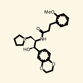 COc1ccccc1CCC(=O)N[C@H](CN1CCCC1)[C@H](O)c1ccc2c(c1)OCCO2